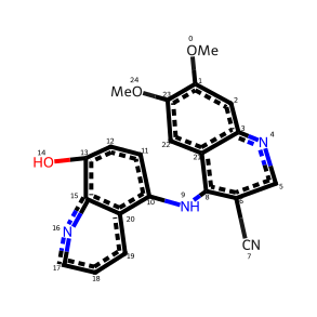 COc1cc2ncc(C#N)c(Nc3ccc(O)c4ncccc34)c2cc1OC